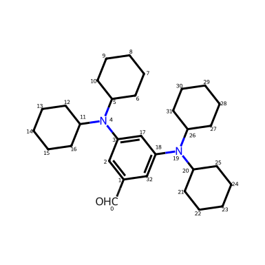 O=Cc1cc(N(C2CCCCC2)C2CCCCC2)cc(N(C2CCCCC2)C2CCCCC2)c1